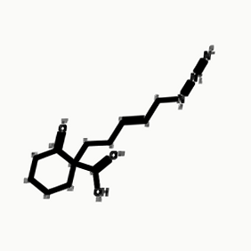 [N-]=[N+]=NCC=CCCC1(C(=O)O)CCCCC1=O